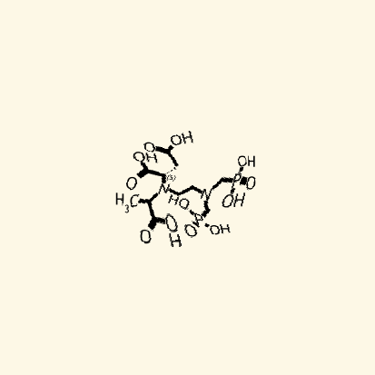 CC(C(=O)O)N(CCN(CP(=O)(O)O)CP(=O)(O)O)[C@@H](CC(=O)O)C(=O)O